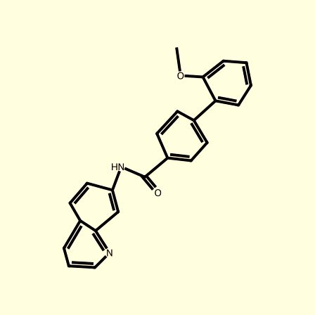 COc1ccccc1-c1ccc(C(=O)Nc2ccc3cccnc3c2)cc1